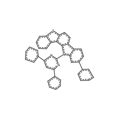 c1ccc(-c2ccc3c4ccc5sc6ccccc6c5c4n(-c4nc(-c5ccccc5)cc(-c5ccccc5)n4)c3c2)cc1